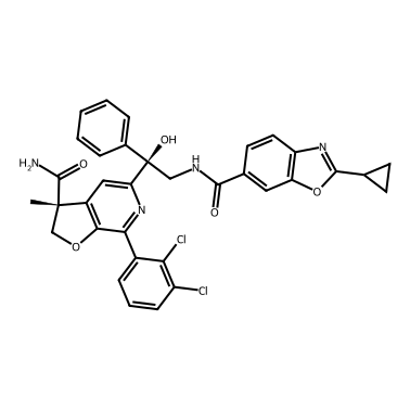 C[C@]1(C(N)=O)COc2c1cc([C@@](O)(CNC(=O)c1ccc3nc(C4CC4)oc3c1)c1ccccc1)nc2-c1cccc(Cl)c1Cl